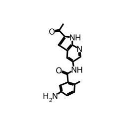 CC(=O)c1cc2cc(NC(=O)c3cc(N)ccc3C)cnc2[nH]1